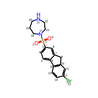 O=S(=O)(c1ccc2c(c1)Cc1cc(Br)ccc1-2)N1CCCNCC1